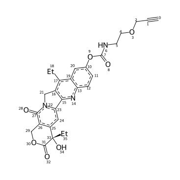 C#CCOCCNC(=O)Oc1ccc2nc3c(c(CC)c2c1)Cn1c-3cc2c(c1=O)COC(=O)[C@]2(O)CC